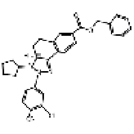 N#Cc1ccc(N2N=C3c4ccc(C(=O)OCc5ccccc5)cc4CC[C@@H]3[C@@H]2C2CCCC2)cc1Cl